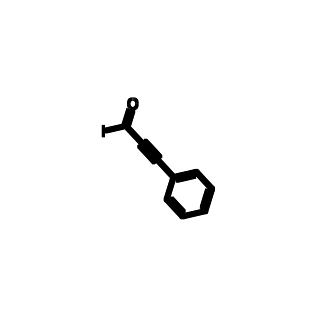 O=C(I)C#Cc1ccccc1